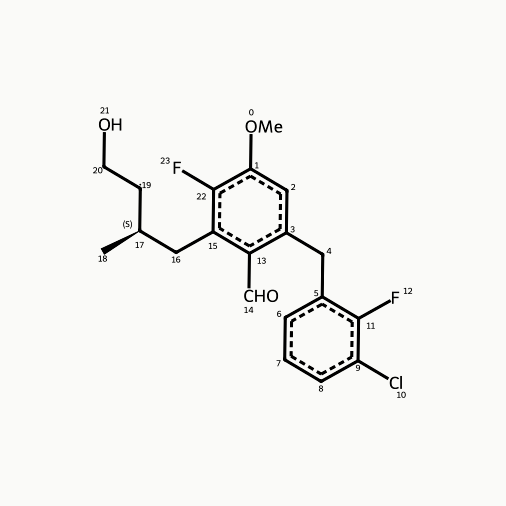 COc1cc(Cc2cccc(Cl)c2F)c(C=O)c(C[C@@H](C)[CH]CO)c1F